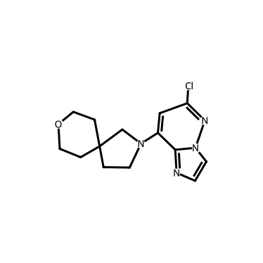 Clc1cc(N2CCC3(CCOCC3)C2)c2nccn2n1